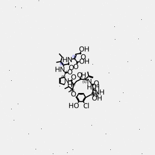 C=C(C)[C@@H]1NC(=O)[C@@H](NC)[C@@H](O)c2ccc(c(O)c2Cl)O[C@](C)(CC)[C@@H](C(=O)N2CC=C[C@H]2C(=O)N/C(C(=O)N/C(=C/C(=O)O)C(=O)O)=C(\C)CC)CC1=O